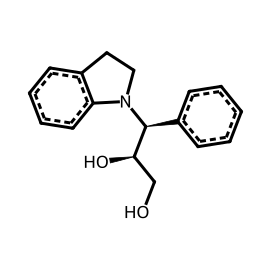 OC[C@@H](O)[C@H](c1ccccc1)N1CCc2ccccc21